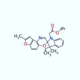 C=CC1(C)c2ccccc2N(CC(=O)OC(C)C)C12C=Nc1c(ccc3oc(C)cc13)O2